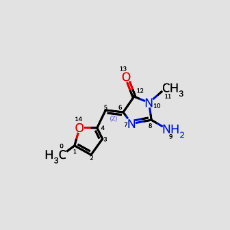 Cc1ccc(/C=C2\N=C(N)N(C)C2=O)o1